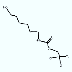 O=C(NCCCCCCO)OCC(Cl)(Cl)Cl